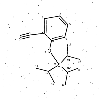 C#Cc1ccccc1O[Si](C(C)C)(C(C)C)C(C)C